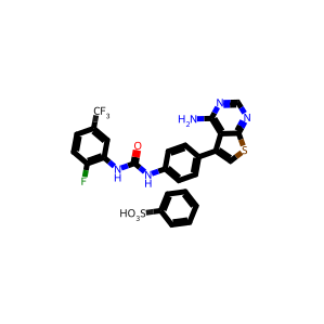 Nc1ncnc2scc(-c3ccc(NC(=O)Nc4cc(C(F)(F)F)ccc4F)cc3)c12.O=S(=O)(O)c1ccccc1